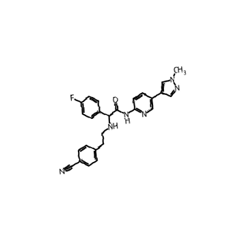 Cn1cc(-c2ccc(NC(=O)C(NCCc3ccc(C#N)cc3)c3ccc(F)cc3)nc2)cn1